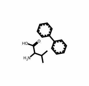 CC(C)C(N)C(=O)O.c1ccc(-c2ccccc2)cc1